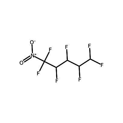 O=[N+]([O-])C(F)(F)C(F)C(F)C(F)C(F)F